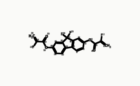 C=C(F)C(=O)Oc1ccc2c(c1)C(F)(F)c1cc(OC(=O)C(=C)F)ccc1-2